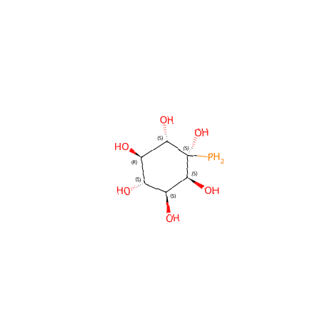 O[C@@H]1[C@@H](O)[C@H](O)[C@@](O)(P)[C@@H](O)[C@H]1O